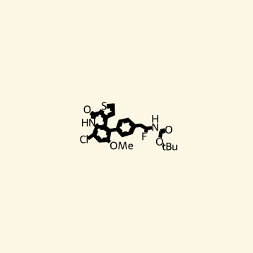 COc1cc(Cl)c2[nH]c(=O)c3sccc3c2c1-c1ccc(CC(F)NC(=O)OC(C)(C)C)cc1